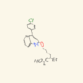 CCC(CCCCOc1cc(-c2ccc(Cl)cc2)c2ccccc2n1)C(=O)O